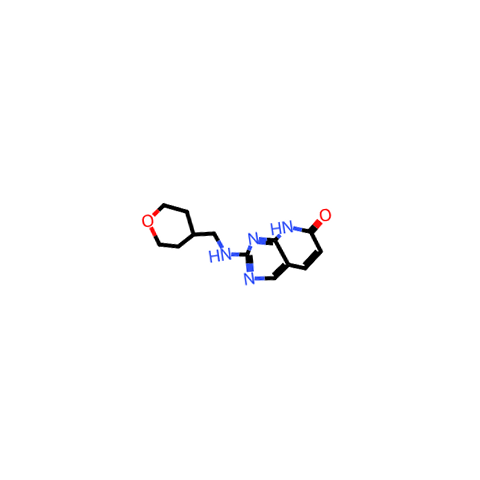 O=c1ccc2cnc(NCC3CCOCC3)nc2[nH]1